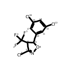 FC(F)(F)C1C(Cl)=NOC1c1cc(Cl)cc(Cl)c1